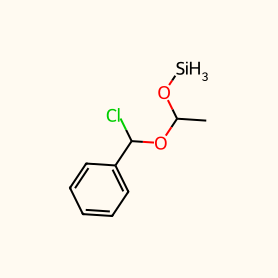 CC(O[SiH3])OC(Cl)c1ccccc1